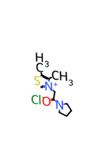 Cc1sc[n+](CC(=O)N2CCCC2)c1C.[Cl-]